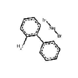 [Br][Mg][Br].[CH2]c1ccccc1-c1ccccc1